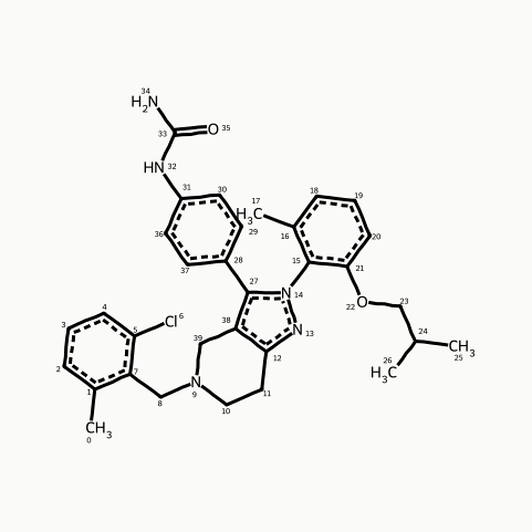 Cc1cccc(Cl)c1CN1CCc2nn(-c3c(C)cccc3OCC(C)C)c(-c3ccc(NC(N)=O)cc3)c2C1